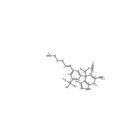 Cc1n[nH]c2c1C(c1cc(C=CCCCO)cc(C(F)(F)F)c1)(C(C)C)C(C#N)=C(N)O2